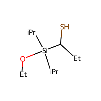 CCO[Si](C(C)C)(C(C)C)C(S)CC